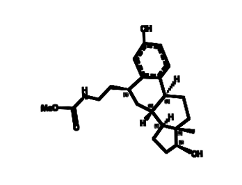 COC(=O)NCC[C@@H]1C[C@@H]2[C@H](CC[C@]3(C)[C@@H](O)CC[C@@H]23)c2ccc(O)cc21